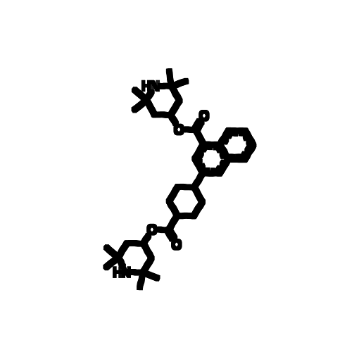 CC1(C)CC(OC(=O)c2cc(C3CCC(C(=O)OC4CC(C)(C)NC(C)(C)C4)CC3)cc3ccccc23)CC(C)(C)N1